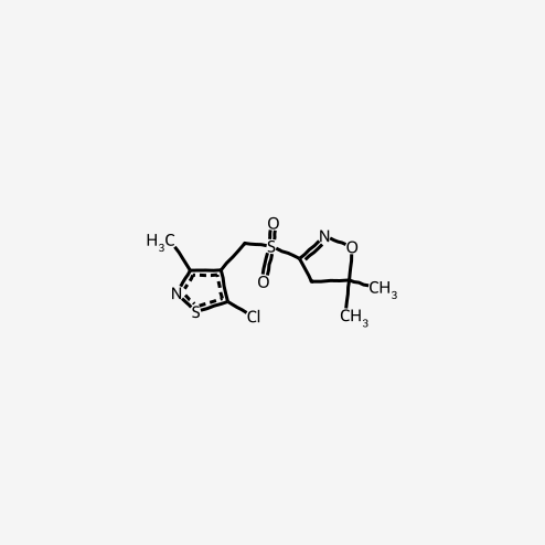 Cc1nsc(Cl)c1CS(=O)(=O)C1=NOC(C)(C)C1